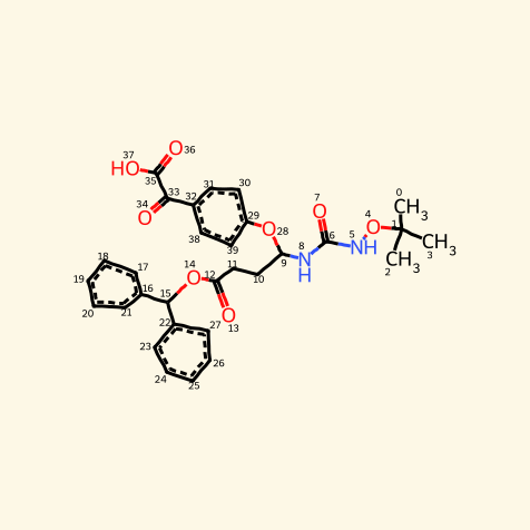 CC(C)(C)ONC(=O)NC(CCC(=O)OC(c1ccccc1)c1ccccc1)Oc1ccc(C(=O)C(=O)O)cc1